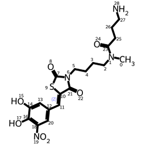 CN(CCCCN1C(=O)S/C(=C\c2cc(O)c(O)c([N+](=O)[O-])c2)C1=O)C(=O)CCCN